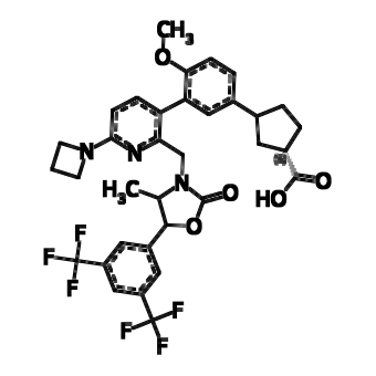 COc1ccc(C2CC[C@H](C(=O)O)C2)cc1-c1ccc(N2CCC2)nc1CN1C(=O)OC(c2cc(C(F)(F)F)cc(C(F)(F)F)c2)C1C